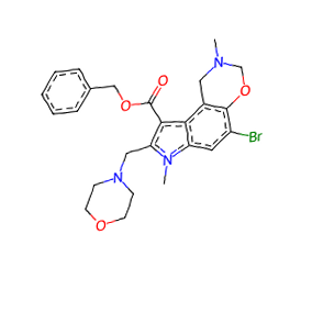 CN1COc2c(Br)cc3c(c2C1)c(C(=O)OCc1ccccc1)c(CN1CCOCC1)n3C